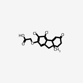 CC12CCC(=O)C=C1c1c(cc(OCC(=O)O)c(Cl)c1Cl)C2